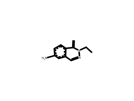 C=C1c2ccc(N)cc2C=NN1CC